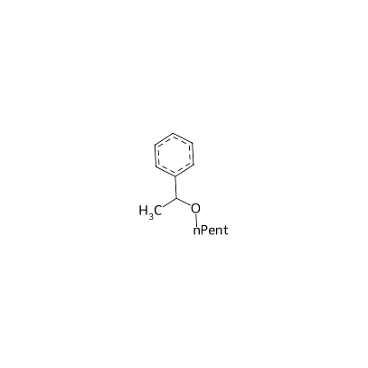 CCCCCOC(C)c1ccccc1